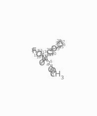 COOCCC[C@H]1C(=O)N(c2ccc(F)cc2)[C@@H]1c1ccc(OCc2ccccc2)cc1